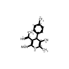 CNC1=C(C(C)=N)C(c2ccc(C(F)(F)F)cc2)C(C#N)=C(C)O1